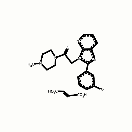 CN1CCN(C(=O)Cn2c(-c3cccc(Br)c3)nc3cccnc32)CC1.O=C(O)C=CC(=O)O